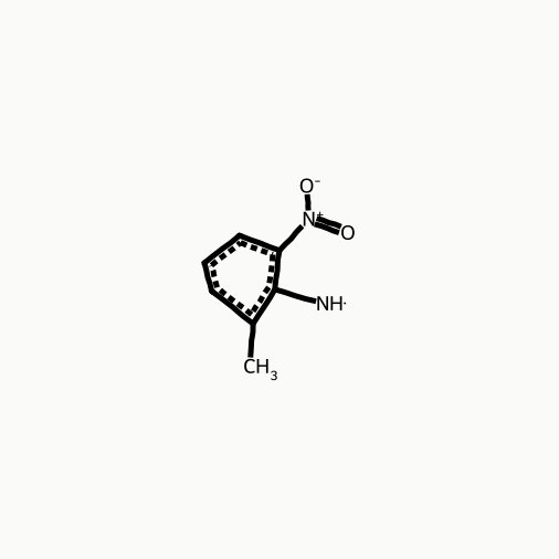 Cc1cccc([N+](=O)[O-])c1[NH]